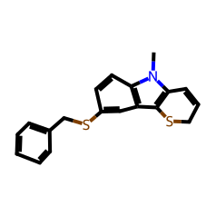 Cn1c2c(c3cc(SCc4ccccc4)ccc31)SCC=C2